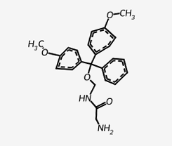 COc1ccc(C(OCNC(=O)CN)(c2ccccc2)c2ccc(OC)cc2)cc1